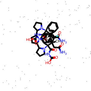 CC1(CC(N)=O)c2cccc(c2)[C@]1(C(=O)NC(=O)O)N1CCCC1C1CCC(C2CCCN2[C@@]2(C(=O)NC(=O)O)c3cccc(c3)C2(C)CC(N)=O)N1c1ccc(F)cc1